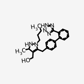 CCCCN1NC(C)C(CO)=C1Cc1ccc(-c2ccccc2-c2nn[nH]n2)cc1